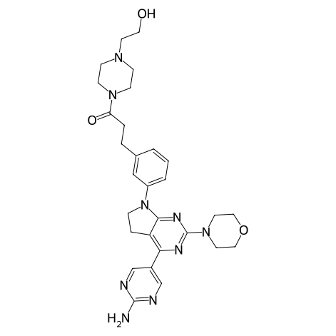 Nc1ncc(-c2nc(N3CCOCC3)nc3c2CCN3c2cccc(CCC(=O)N3CCN(CCO)CC3)c2)cn1